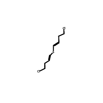 ClCCC=CSC=CCCCl